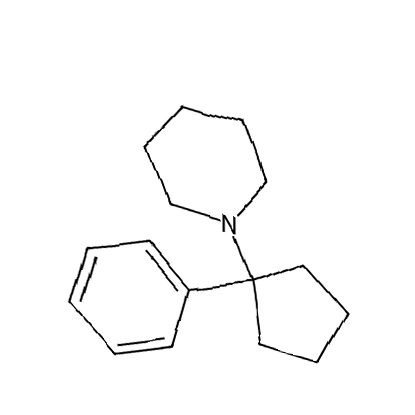 c1ccc(C2(N3CCCCC3)CCCC2)cc1